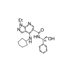 CCn1ncc2c(NC3CCCCC3)c(C(=O)N[C@@H](CO)c3ccccc3)cnc21